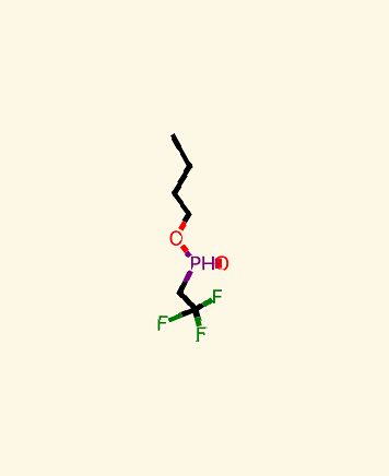 CCCCO[PH](=O)CC(F)(F)F